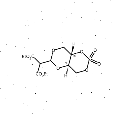 CCOC(=O)C(C(=O)OCC)C1OC[C@@H]2OS(=O)(=O)OC[C@H]2O1